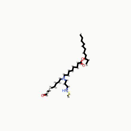 CCCCCCCCC(CC)OC(=O)CCCCCCCN(CCCCCCCC=O)CCCNSC